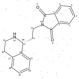 O=C1c2ccccc2C(=O)N1CC[C@H]1NCCc2ccccc21